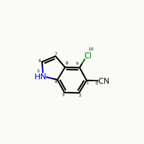 N#Cc1ccc2[nH]ccc2c1Cl